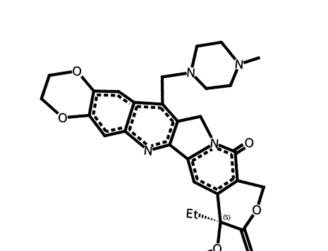 C=C1OCc2c(cc3n(c2=O)Cc2c-3nc3cc4c(cc3c2CN2CCN(C)CC2)OCCO4)[C@]1(CC)OC(C)C